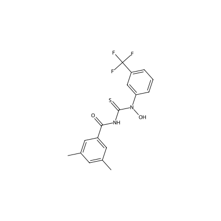 Cc1cc(C)cc(C(=O)NC(=S)N(O)c2cccc(C(F)(F)F)c2)c1